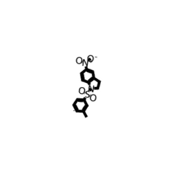 Cc1[c]ccc(S(=O)(=O)N2CCc3cc([N+](=O)[O-])ccc32)c1